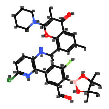 Cc1cc(C(C)Nc2ccc(Cl)nc2-c2cc(F)c(B3OC(C)(C)C(C)(C)O3)c(C=O)c2)c2oc(N3CCCCC3)c(C)c(=O)c2c1